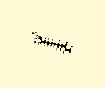 CO[SiH](CC(F)C(F)(F)C(F)(F)C(F)(F)C(F)(F)C(F)(F)C(F)(F)C(F)C(F)C(F)F)OC